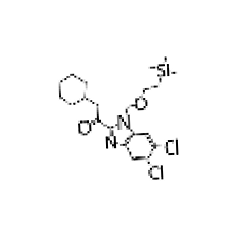 C[Si](C)(C)CCOCn1c(C(=O)CC2CCCCC2)nc2cc(Cl)c(Cl)cc21